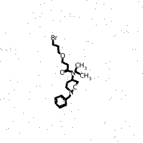 CC(C)N(C(=O)CCOCCCBr)C1CCN(Cc2ccccc2)CC1